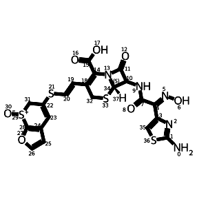 Nc1nc(C(=NO)C(=O)NC2C(=O)N3C(C(=O)O)=C(C=CSC4=Cc5ccoc5[S+]([O-])C4)CS[C@@H]23)cs1